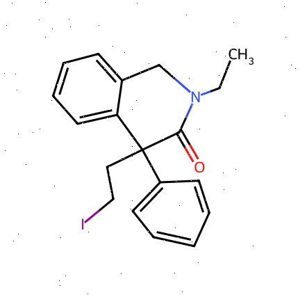 CCN1Cc2ccccc2C(CCI)(c2ccccc2)C1=O